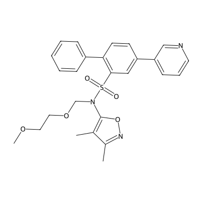 COCCOCN(c1onc(C)c1C)S(=O)(=O)c1cc(-c2cccnc2)ccc1-c1ccccc1